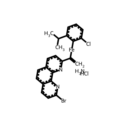 C=[C]([Fe][c]1c(Cl)cccc1C(C)C)c1ccc2ccc3ccc(Br)nc3c2n1.Cl.N